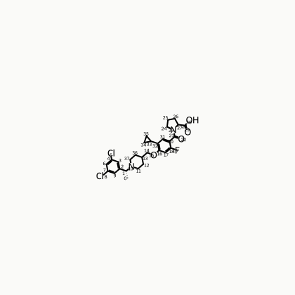 C[C@H](c1cc(Cl)cc(Cl)c1)N1CCC(COc2cc(F)c(C(=O)N3CCCC3C(=O)O)cc2C2CC2)CC1